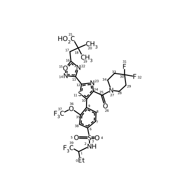 CCC(NS(=O)(=O)c1ccc(-c2sc(-c3noc(CC(C)(C)C(=O)O)n3)nc2C(=O)N2CCC(F)(F)CC2)c(OC(F)(F)F)c1)C(F)(F)F